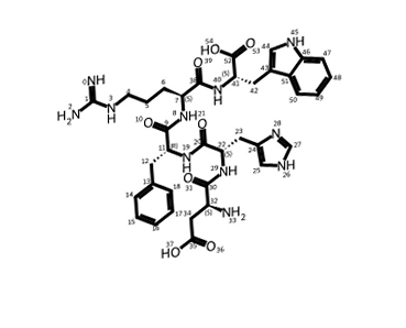 N=C(N)NCCC[C@H](NC(=O)[C@@H](Cc1ccccc1)NC(=O)[C@H](Cc1c[nH]cn1)NC(=O)[C@@H](N)CC(=O)O)C(=O)N[C@@H](Cc1c[nH]c2ccccc12)C(=O)O